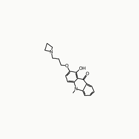 Cn1c2ccccc2c(=O)c2c(O)c(OCCCN3CCC3)ccc21